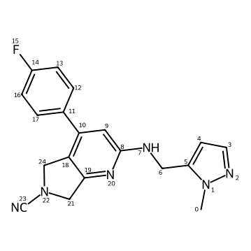 Cn1nccc1CNc1cc(-c2ccc(F)cc2)c2c(n1)CN(C#N)C2